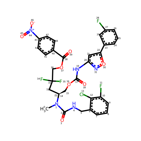 CN(C(=O)NCc1cccc(F)c1Cl)[C@H](COC(=O)Nc1cc(-c2cccc(F)c2)on1)CC(F)(F)COC(=O)c1ccc([N+](=O)[O-])cc1